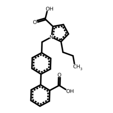 CCCc1ccc(C(=O)O)n1Cc1ccc(-c2ccccc2C(=O)O)cc1